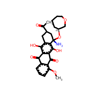 COc1cccc2c1C(=O)c1c(O)c3c(c(O)c1C2=O)CC(C(C)=O)CC3(N)O[C@H]1CCCCOC1